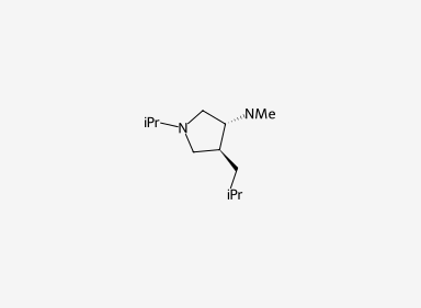 CN[C@H]1CN(C(C)C)C[C@@H]1CC(C)C